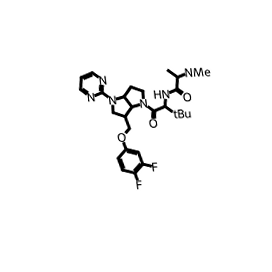 CNC(C)C(=O)NC(C(=O)N1CCC2C1C(COc1ccc(F)c(F)c1)CN2c1ncccn1)C(C)(C)C